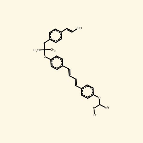 CCCC(OCC)Oc1ccc(C=CC=Cc2ccc(OC(C)(C)Cc3ccc(C=CO)cc3)cc2)cc1